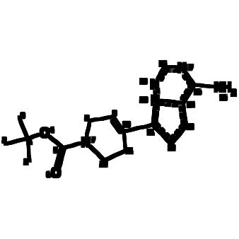 CC(C)(C)OC(=O)N1CC=C(c2ccc3c(N)ncnn23)CC1